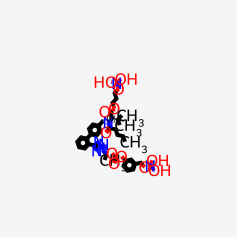 CCCCC(=O)N(Cc1ccc(-c2ccccc2-c2nnn(C(C)OC(=O)Oc3cccc(CON(O)O)c3)n2)cc1)[C@H](C(=O)OCCCON(O)O)C(C)C